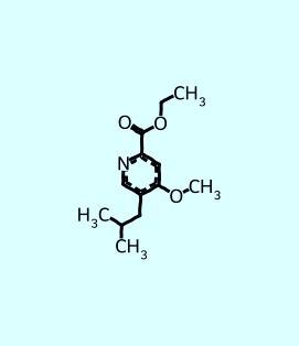 CCOC(=O)c1cc(OC)c(CC(C)C)cn1